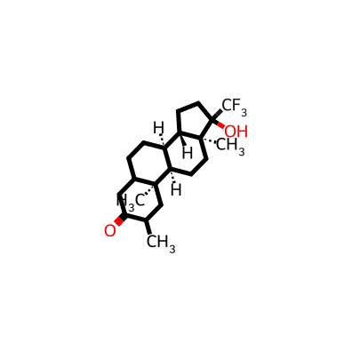 CC1C[C@@]2(C)C(CC[C@@H]3[C@H]2CC[C@@]2(C)[C@H]3CCC2(O)C(F)(F)F)CC1=O